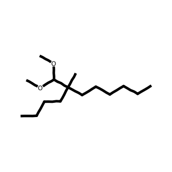 CCCCCCC(C)(CCCC)C(OC)OC